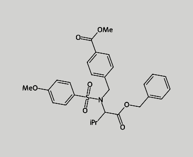 COC(=O)c1ccc(CN(C(C(=O)OCc2ccccc2)C(C)C)S(=O)(=O)c2ccc(OC)cc2)cc1